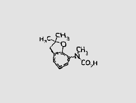 CN(C(=O)O)c1cccc2c1OC(C)(C)C2